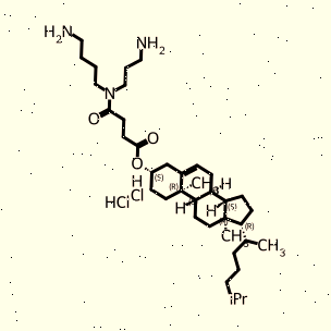 CC(C)CCCC(C)[C@H]1CC[C@H]2[C@@H]3CC=C4C[C@@H](OC(=O)CCC(=O)N(CCCN)CCCCN)CC[C@]4(C)[C@H]3CC[C@]12C.Cl.Cl